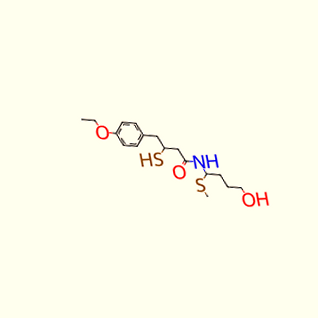 CCOc1ccc(CC(S)CC(=O)NC(CCCO)SC)cc1